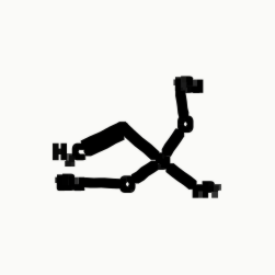 C=C[Si](CCC)(OC(C)(C)C)OC(C)(C)C